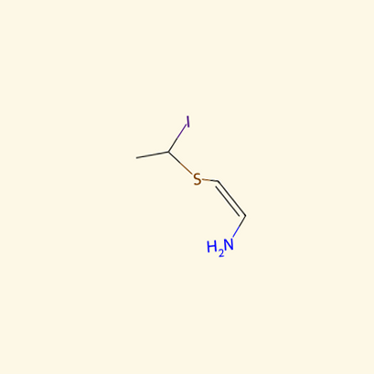 CC(I)S/C=C\N